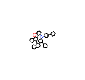 c1ccc(-c2ccc(N(c3cccc(-c4ccccc4)c3)c3cccc4oc5c6ccccc6c(-c6cccc7ccccc67)cc5c34)cc2)cc1